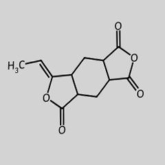 CC=C1OC(=O)C2CC3C(=O)OC(=O)C3CC12